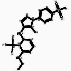 CCNC1=CC=NC(Nc2cnn(-c3ccc(S(C)(=O)=O)cc3)c2C)N1C(F)(F)F